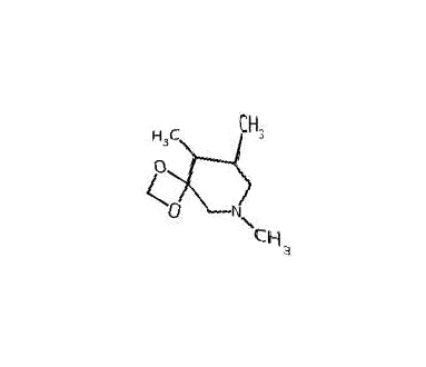 CC1CN(C)CC2(OCO2)C1C